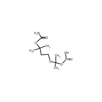 CC(C)(CCOC(C)(C)O[PH](=O)O)OC(N)=O